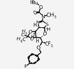 CN(C(=O)OC(C)(C)C)C1=N[C@@H]2[C@H]3OC(C)(C)O[C@@H]3[C@@H]([C@H](OCc3ccc(F)cc3)C(F)(F)F)O[C@@H]2S1